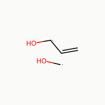 C=C[CH]O.[CH2]O